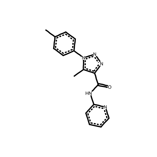 Cc1ccc(-n2nnc(C(=O)Nc3ccccn3)c2C)cc1